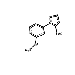 O=Cc1ccnn1-c1cccc(NS(=O)(=O)O)c1